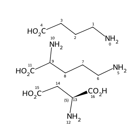 NCCCC(=O)O.NCCCC(N)C(=O)O.N[C@@H](CC(=O)O)C(=O)O